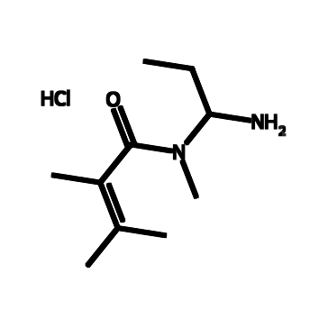 CCC(N)N(C)C(=O)C(C)=C(C)C.Cl